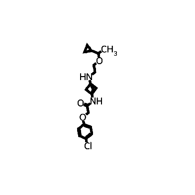 CC(OCCNC12CC(NC(=O)COc3ccc(Cl)cc3)(C1)C2)C1CC1